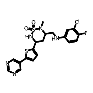 CN1C(CNc2ccc(F)c(Cl)c2)CC(c2ccc(-c3cncnc3)s2)NS1(=O)=O